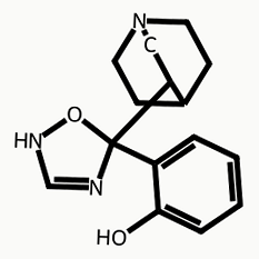 Oc1ccccc1C1(C2CN3CCC2CC3)N=CNO1